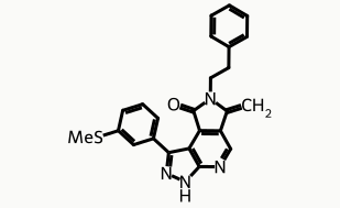 C=C1c2cnc3[nH]nc(-c4cccc(SC)c4)c3c2C(=O)N1CCc1ccccc1